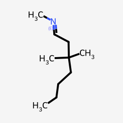 CCCCC(C)(C)C/C=N/C